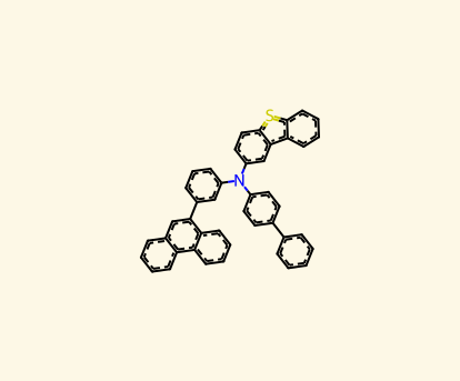 c1ccc(-c2ccc(N(c3cccc(-c4cc5ccccc5c5ccccc45)c3)c3ccc4sc5ccccc5c4c3)cc2)cc1